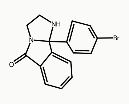 O=C1c2ccccc2C2(c3ccc(Br)cc3)NCCN12